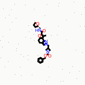 Cc1c(C(=O)NC[C@@H]2CCCO2)oc2c1-c1nn(CC3CN(C(=O)OCc4ccccc4)C3)cc1CC2